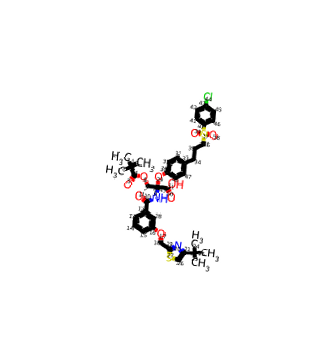 CC(C)(C)C(=O)OCC(NC(=O)c1cccc(OCc2nc(C(C)(C)C)cs2)c1)(Oc1ccc(CCCS(=O)(=O)c2ccc(Cl)cc2)cc1)C(=O)O